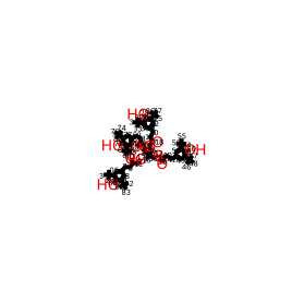 CC(C)(C)c1cc(CCC(=O)COCC(COC(=O)CCc2cc(C(C)(C)C)c(O)c(C(C)(C)C)c2)(COC(=O)CCc2cc(C(C)(C)C)c(O)c(C(C)(C)C)c2)COC(=O)CCc2cc(C(C)(C)C)c(O)c(C(C)(C)C)c2)cc(C(C)(C)C)c1O